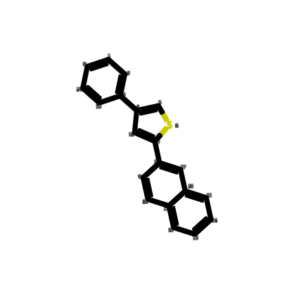 c1ccc(-c2csc(-c3ccc4ccccc4c3)c2)cc1